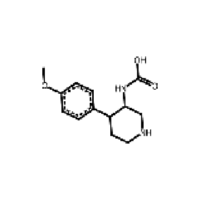 COc1ccc(C2CCNCC2NC(=O)O)cc1